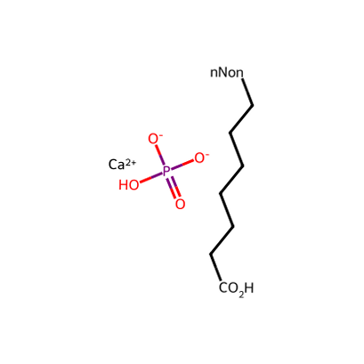 CCCCCCCCCCCCCCCC(=O)O.O=P([O-])([O-])O.[Ca+2]